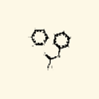 NC(=O)Nc1ccccc1.c1cnnnc1